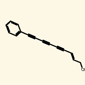 OCC=CC#CC#CC#Cc1ccccc1